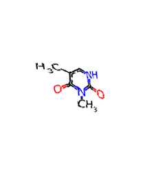 Cc1c[nH]c(=O)n(C)c1=O